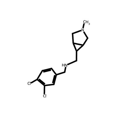 CN1CC2C(CNCc3ccc(Cl)c(Cl)c3)C2C1